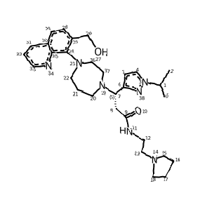 CC(C)n1ccc([C@H](CC(=O)NCCN2CCCC2)N2CCCN(c3c(CO)ccc4cccnc34)CC2)n1